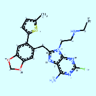 Cc1ccc(-c2cc3c(cc2Cc2nc4c(N)nc(F)nc4n2CCNCC(C)C)OCO3)s1